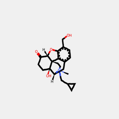 C[N@+]1(CC2CC2)CC[C@]23c4c5ccc(CO)c4O[C@H]2C(=O)CC[C@@]3(O)[C@H]1C5